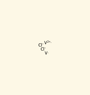 [Cl-].[Cl-].[V+2].[V]